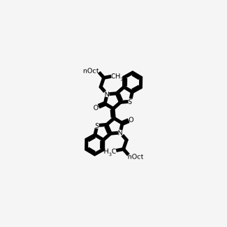 CCCCCCCCC(C)CN1C(=O)/C(=C2/C(=O)N(CC(C)CCCCCCCC)c3c2sc2ccccc32)c2sc3ccccc3c21